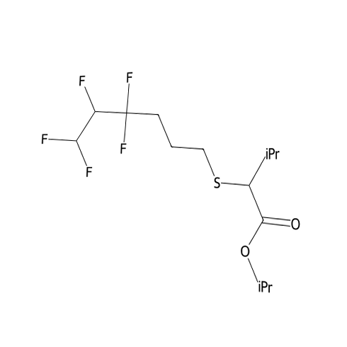 CC(C)OC(=O)C(SCCCC(F)(F)C(F)C(F)F)C(C)C